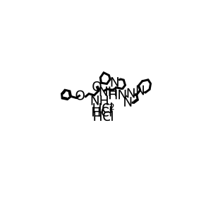 Cl.Cl.Cl.N[C@H](CCOCc1ccccc1)C(=O)NCCC1C(Nc2nccc(N3CCCCCC3)n2)CCCN1C1CCCCC1